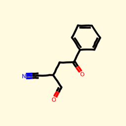 N#CC(C=O)CC(=O)c1ccccc1